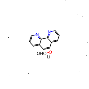 O=C[O-].[Li+].c1cnc2c(c1)ccc1cccnc12